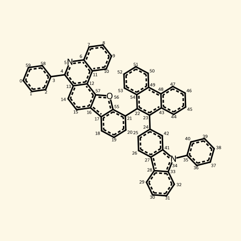 c1ccc(-c2nc3ccccc3c3c2ccc2c4cccc(-c5c(-c6ccc7c8ccccc8n(-c8ccccc8)c7c6)c6ccccc6c6ccccc56)c4oc23)cc1